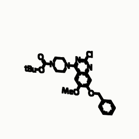 COc1cc2c(N3CCN(C(=O)OC(C)(C)C)CC3)nc(Cl)nc2cc1OCc1ccccc1